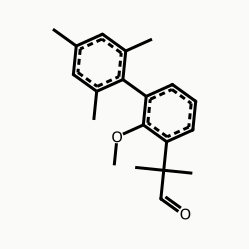 COc1c(-c2c(C)cc(C)cc2C)cccc1C(C)(C)C=O